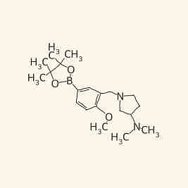 COc1ccc(B2OC(C)(C)C(C)(C)O2)cc1CN1CCC(N(C)C)C1